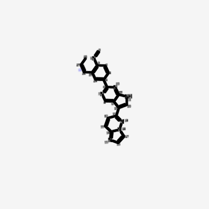 C=Nc1ccc(-c2ncc3c(-c4ccc5nccn5n4)c[nH]c3n2)cc1/C=C\C